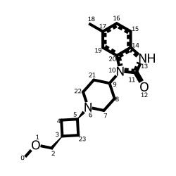 COC[C@H]1C[C@@H](N2CCC(n3c(=O)[nH]c4ccc(C)cc43)CC2)C1